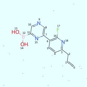 C=CCc1ccc(-c2cncc(B(O)O)n2)c(F)n1